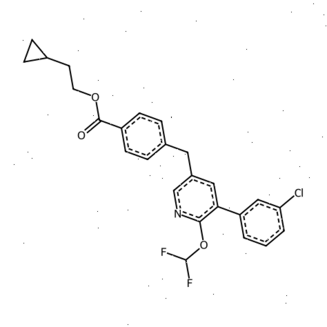 O=C(OCCC1CC1)c1ccc(Cc2cnc(OC(F)F)c(-c3cccc(Cl)c3)c2)cc1